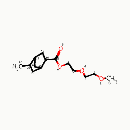 COCCOCCOC(=O)C1CC2CC1CC2C